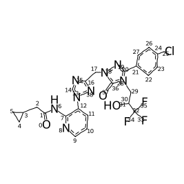 O=C(CC1CC1)Nc1ncccc1-n1cnc(Cn2nc(-c3ccc(Cl)cc3)n(CC(O)C(F)(F)F)c2=O)n1